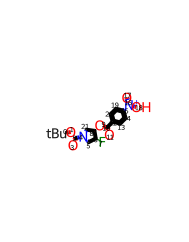 CC(C)(C)OC(=O)N1C[C@@H](F)[C@@H](OC(=O)c2ccc([N+](=O)O)cc2)C1